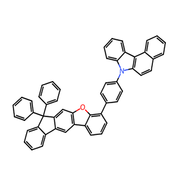 c1ccc(C2(c3ccccc3)c3ccccc3-c3cc4c(cc32)oc2c(-c3ccc(-n5c6ccccc6c6c7ccccc7ccc65)cc3)cccc24)cc1